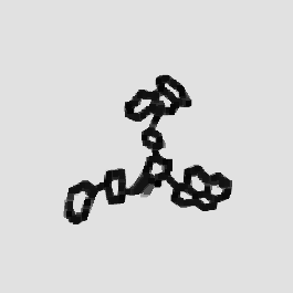 c1ccc2c(c1)cc(-c1ccc(-c3cc(-c4ccc(-c5ccncc5)cc4)nc(-c4ccc5ccc6cccc7ccc4c5c67)n3)cc1)c1ccccc12